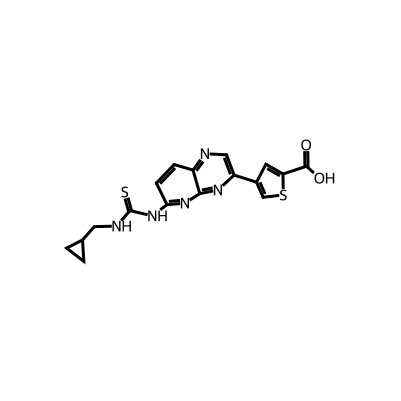 O=C(O)c1cc(-c2cnc3ccc(NC(=S)NCC4CC4)nc3n2)cs1